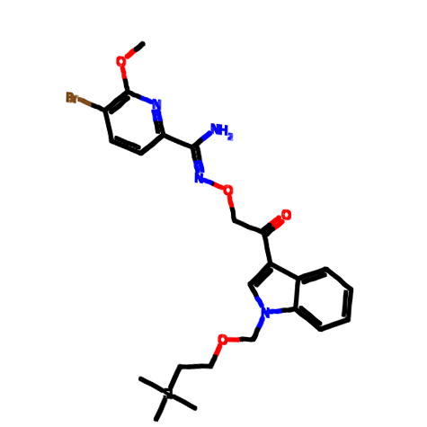 COc1nc(/C(N)=N/OCC(=O)c2cn(COCC[Si](C)(C)C)c3ccccc23)ccc1Br